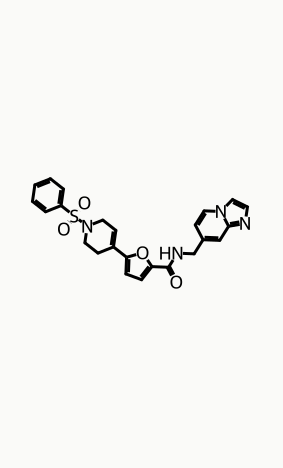 O=C(NCc1ccn2ccnc2c1)c1ccc(C2=CCN(S(=O)(=O)c3ccccc3)CC2)o1